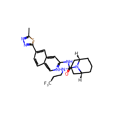 Cc1nnc(-c2ccc3cnc(NC(=O)N4[C@@H]5CCC[C@H]4C[C@@H](NCCC(F)(F)F)C5)cc3c2)s1